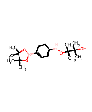 CC(C)(O)C(C)(C)OBC1=CC=C(B2OC(C)(C)C(C)(C)O2)CC1